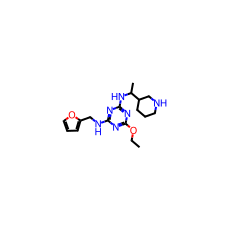 CCOc1nc(NCc2ccco2)nc(NC(C)C2CCCNC2)n1